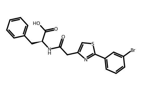 O=C(Cc1csc(-c2cccc(Br)c2)n1)N[C@@H](Cc1ccccc1)C(=O)O